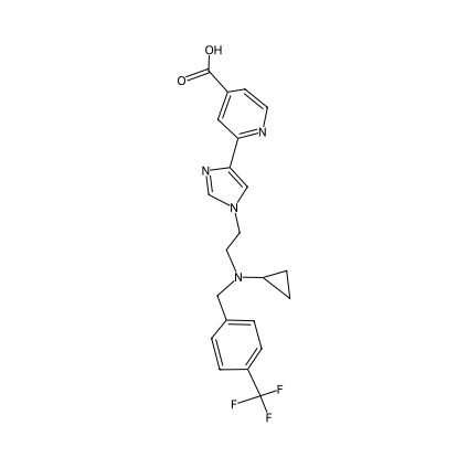 O=C(O)c1ccnc(-c2cn(CCN(Cc3ccc(C(F)(F)F)cc3)C3CC3)cn2)c1